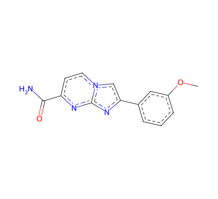 COc1cccc(-c2cn3ccc(C(N)=O)nc3n2)c1